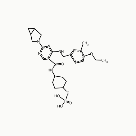 CCOc1ccc(CNc2nc(N3CC4CC4C3)ncc2C(=O)NC2CCC(OP(=O)(O)O)CC2)cc1C